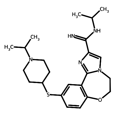 CC(C)NC(=N)c1cn2c(n1)-c1cc(SC3CCN(C(C)C)CC3)ccc1OCC2